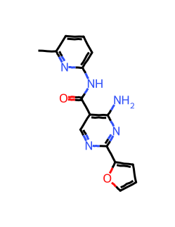 Cc1cccc(NC(=O)c2cnc(-c3ccco3)nc2N)n1